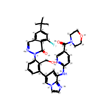 CC(C)(C)c1cc(F)c2c(=O)n(-c3cccc(-c4cc(Nc5ccc(C(=O)N6CCOCC6)cn5)c5nccn5c4)c3CO)ncc2c1